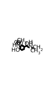 [CH2][C@H](C)NC[C@H](O)c1ccc(O)c(NS(C)(=O)=O)c1